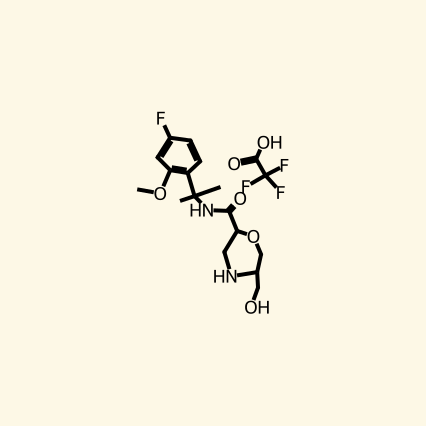 COc1cc(F)ccc1C(C)(C)NC(=O)C1CNC(CO)CO1.O=C(O)C(F)(F)F